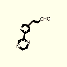 O=CC=Cc1csc(-c2cnccn2)c1